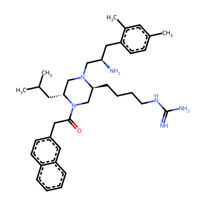 Cc1ccc(C[C@@H](N)CN2C[C@@H](CC(C)C)N(C(=O)Cc3ccc4ccccc4c3)C[C@@H]2CCCCNC(=N)N)c(C)c1